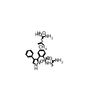 C.C=CC.NC(O)=S.NC(O)=S.NS(=O)(=O)c1ccccc1-c1n[nH]cc1-c1ccccc1.O